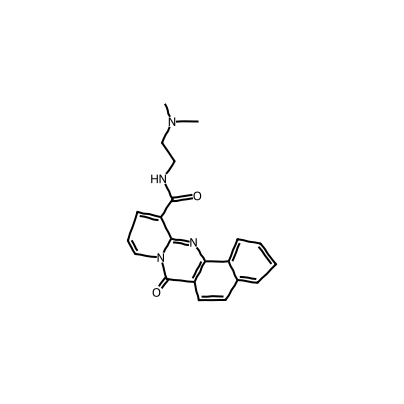 CN(C)CCNC(=O)c1cccn2c(=O)c3ccc4ccccc4c3nc12